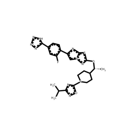 CC(C)c1noc(N2CCC([C@@H](C)Oc3nn4cc(-c5ccc(-c6nnn[nH]6)cc5F)nc4s3)CC2)n1